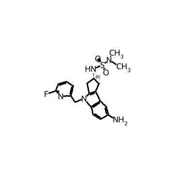 CN(C)S(=O)(=O)N[C@@H]1Cc2c(n(Cc3cccc(F)n3)c3ccc(N)cc23)C1